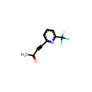 CC(=O)C#Cc1cccc(C(F)(F)F)n1